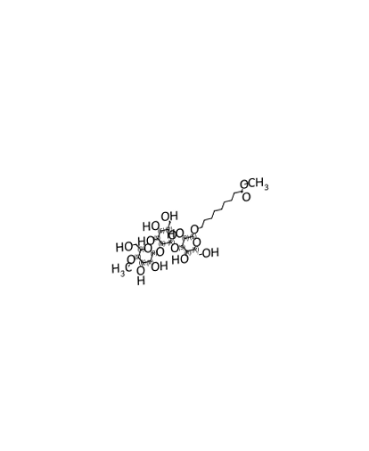 COC(=O)CCCCCCCCO[C@H]1O[C@H](CO)[C@@H](O)[C@H](O[C@H]2O[C@H](CO)[C@@H](O)[C@H](O)[C@H]2O[C@H]2O[C@H](CO)[C@@H](OC)[C@H](O)[C@H]2O)[C@H]1O